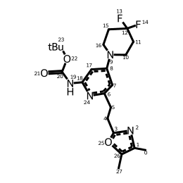 Cc1nc(CCc2cc(N3CCC(F)(F)CC3)cc(NC(=O)OC(C)(C)C)n2)oc1C